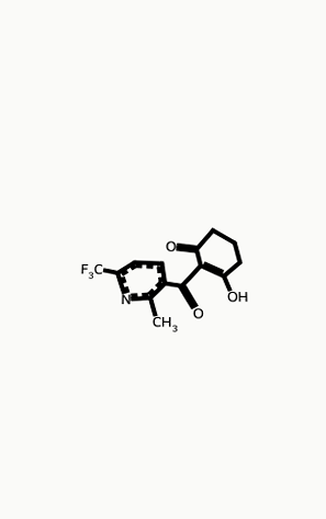 Cc1nc(C(F)(F)F)ccc1C(=O)C1=C(O)CCCC1=O